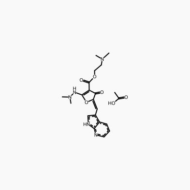 CC(=O)O.CN(C)CCOC(=O)C1=C(NN(C)C)OC(=Cc2c[nH]c3ncccc23)C1=O